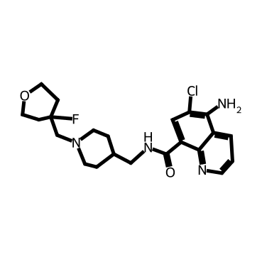 Nc1c(Cl)cc(C(=O)NCC2CCN(CC3(F)CCOCC3)CC2)c2ncccc12